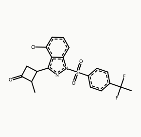 CC1C(=O)CC1c1nn(S(=O)(=O)c2ccc(C(C)(F)F)cc2)c2cccc(Cl)c12